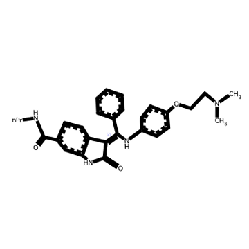 CCCNC(=O)c1ccc2c(c1)NC(=O)/C2=C(\Nc1ccc(OCCN(C)C)cc1)c1ccccc1